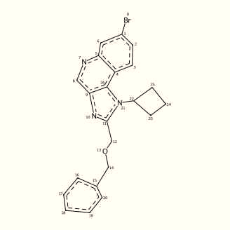 Brc1ccc2c(c1)ncc1nc(COCc3ccccc3)n(C3CCC3)c12